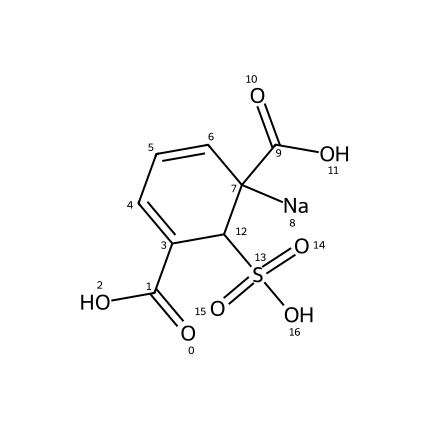 O=C(O)C1=CC=C[C]([Na])(C(=O)O)C1S(=O)(=O)O